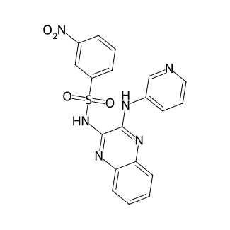 O=[N+]([O-])c1cccc(S(=O)(=O)Nc2nc3ccccc3nc2Nc2cccnc2)c1